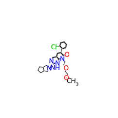 COCCOCCn1c(=O)c(-c2ccccc2Cl)cc2cnc(NN3CC4CCCC4C3)nc21